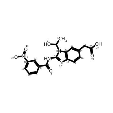 CC(O)n1c(NC(=O)c2cccc([N+](=O)[O-])c2)nc2ccc(CC(=O)O)cc21